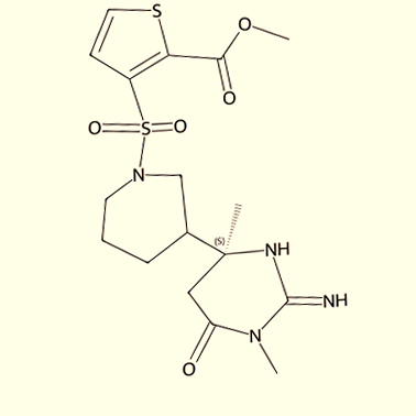 COC(=O)c1sccc1S(=O)(=O)N1CCCC([C@]2(C)CC(=O)N(C)C(=N)N2)C1